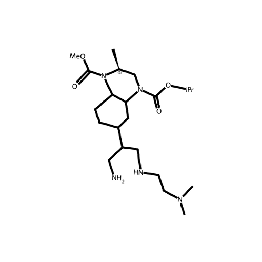 COC(=O)N1C2CCC(C(CN)CNCCN(C)C)CC2N(C(=O)OC(C)C)C[C@@H]1C